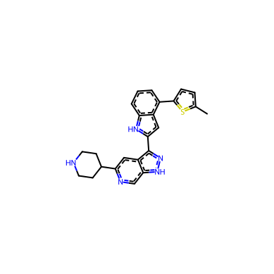 Cc1ccc(-c2cccc3[nH]c(-c4n[nH]c5cnc(C6CCNCC6)cc45)cc23)s1